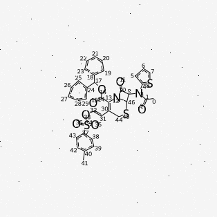 CC(=O)N(c1cccs1)C1C(=O)N2C(C(=O)OC(c3ccccc3)c3ccccc3)=C(C=COS(=O)(=O)c3ccc(C)cc3)CSC12